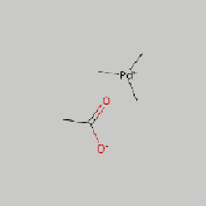 CC(=O)[O-].[CH3][Pd+]([CH3])[CH3]